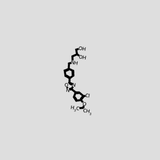 CC(C)Oc1ccc(-c2noc(-c3ccc(CNCC(O)CO)cc3)n2)cc1Cl